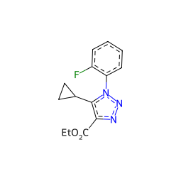 CCOC(=O)c1nnn(-c2ccccc2F)c1C1CC1